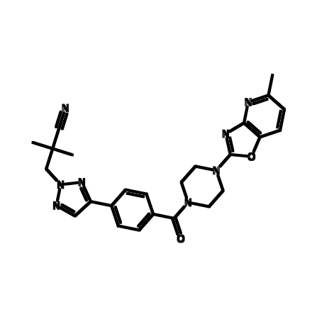 Cc1ccc2oc(N3CCN(C(=O)c4ccc(-c5cnn(CC(C)(C)C#N)n5)cc4)CC3)nc2n1